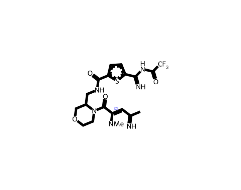 CN/C(=C\C(C)=N)C(=O)N1CCOCC1CNC(=O)c1ccc(C(=N)NC(=O)C(F)(F)F)s1